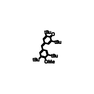 COc1c(C(C)(C)C)cc(C=C2C=C(C(C)(C)C)C(=O)C(C(C)(C)C)=C2)cc1C(C)(C)C